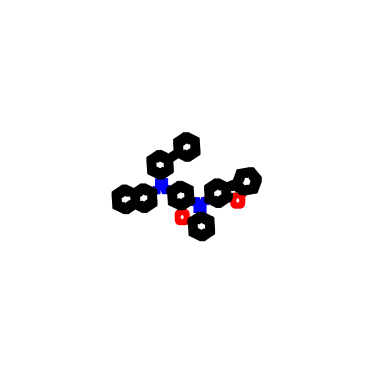 c1ccc(-c2cccc(N(c3ccc4c(c3)Oc3ccccc3N4c3ccc4c(c3)oc3ccccc34)c3ccc4ccccc4c3)c2)cc1